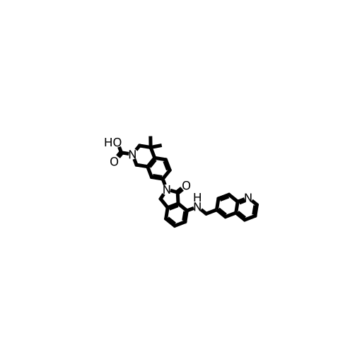 CC1(C)CN(C(=O)O)Cc2cc(N3Cc4cccc(NCc5ccc6ncccc6c5)c4C3=O)ccc21